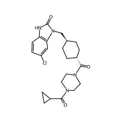 O=C(C1CC1)N1CCN(C(=O)[C@H]2CC[C@H](Cn3c(=O)[nH]c4ccc(Cl)cc43)CC2)CC1